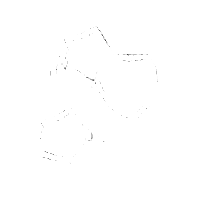 c1ccc2[nH]ccc2c1.c1cnoc1